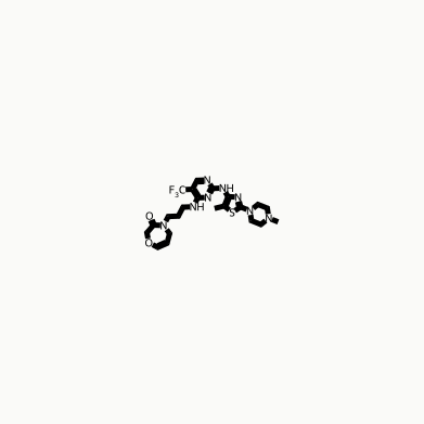 Cc1sc(N2CCN(C)CC2)nc1Nc1ncc(C(F)(F)F)c(NCCCN2CC=COCC2=O)n1